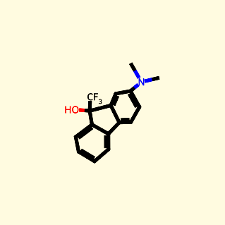 CN(C)c1ccc2c(c1)C(O)(C(F)(F)F)c1ccccc1-2